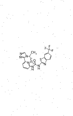 CC(C)n1cnnc1-c1cccc(NC(=O)Nc2nc3ccc(C(F)(F)F)cc3s2)n1